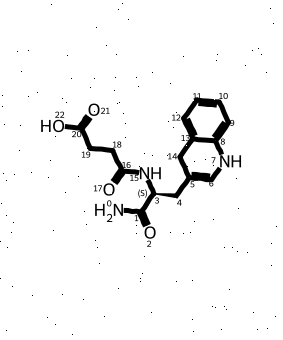 NC(=O)[C@H](CC1=CNc2ccccc2C1)NC(=O)CCC(=O)O